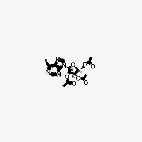 CC(=O)OC[C@H]1O[C@@H](n2cnc3c(I)ncnc32)[C@H](OC(C)=O)[C@@H]1OC(C)=O